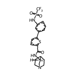 O=C(N[C@H]1CN2CCC1CC2)c1ccc(-c2cccc(NS(=O)(=O)C(F)(F)F)c2)s1